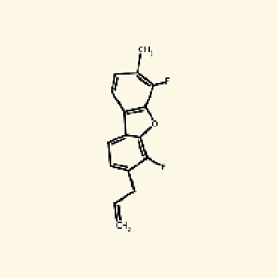 C=CCc1ccc2c(oc3c(F)c(C)ccc32)c1F